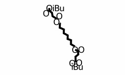 CCC(C)OC(=O)CCC(=O)OCCCCCCCCCOC(=O)CCC(=O)OCC(C)C